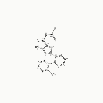 Cc1ccccc1-c1ccncc1-c1cc2[nH]nc(NC(=O)C(C)C)c2s1